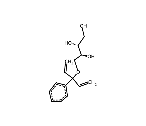 C=CC(C=C)(OC[C@H](O)[C@H](O)CO)c1ccccc1